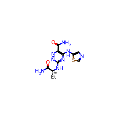 CC[C@@H](Nc1nnc(C(N)=O)c(Nc2cncs2)n1)C(N)=O